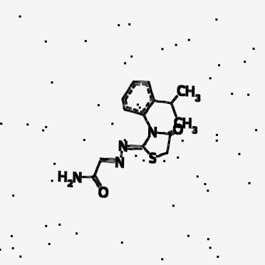 CC(C)c1ccccc1N1C(=O)CS/C1=N\N=C\C(N)=O